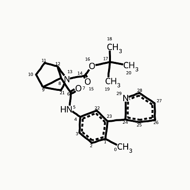 Cc1ccc(NC(=O)C2C3CCC2N(C(=O)OC(C)(C)C)C3)cc1-c1ccccn1